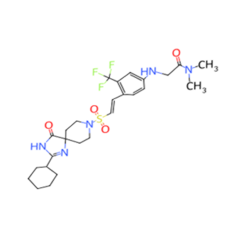 CN(C)C(=O)CNc1ccc(/C=C/S(=O)(=O)N2CCC3(CC2)N=C(C2CCCCC2)NC3=O)c(C(F)(F)F)c1